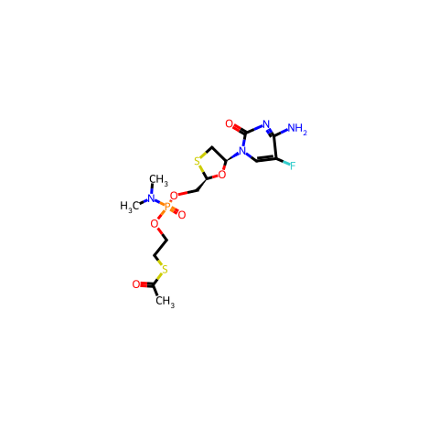 CC(=O)SCCOP(=O)(OC[C@@H]1O[C@H](n2cc(F)c(N)nc2=O)CS1)N(C)C